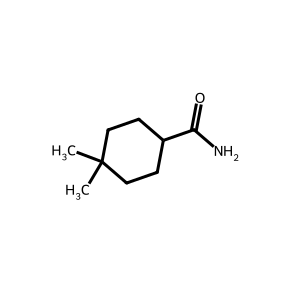 CC1(C)CCC(C(N)=O)CC1